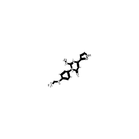 CCOc1nc(-c2cc[nH]n2)cc(=O)n1-c1ccc(OCC(F)(F)F)cc1